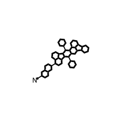 N#Cc1ccc2cc(-c3ccc4c5c(-c6ccccc6)c6cc7c8ccccc8c8cccc(c6c(-c6ccccc6)c5c5cccc3c45)c87)ccc2c1